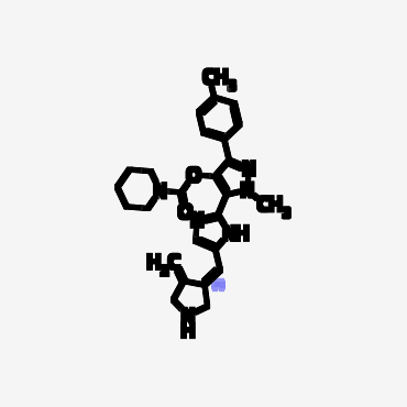 C=C1CNC/C1=C/c1cnc(-c2c(OC(=O)N3CCCCC3)c(-c3ccc(C)cc3)nn2C)[nH]1